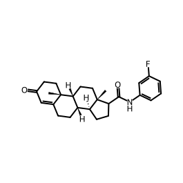 C[C@]12CCC(=O)C=C1CC[C@@H]1[C@H]2CC[C@]2(C)C(C(=O)Nc3cccc(F)c3)CC[C@@H]12